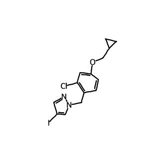 Clc1cc(OCC2CC2)ccc1Cn1cc(I)cn1